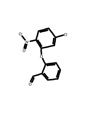 O=Cc1ccccc1Oc1cc(Cl)ccc1[N+](=O)[O-]